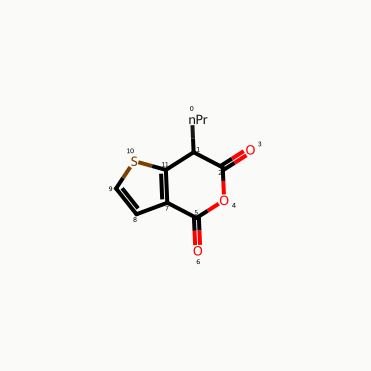 CCCC1C(=O)OC(=O)c2ccsc21